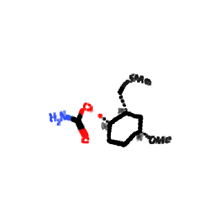 CO[C@@H]1CC[C@H](OC(N)=O)[C@H](CSC)C1